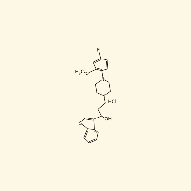 COc1cc(F)ccc1N1CCN(CCC(O)c2csc3ccccc23)CC1.Cl